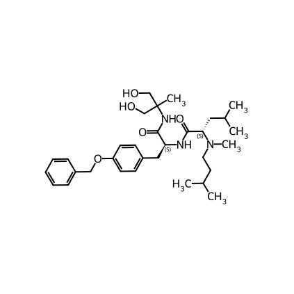 CC(C)CCN(C)[C@@H](CC(C)C)C(=O)N[C@@H](Cc1ccc(OCc2ccccc2)cc1)C(=O)NC(C)(CO)CO